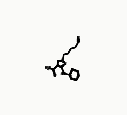 N#CCCCCn1cc(C(N)=O)c(Nc2ccccc2)n1